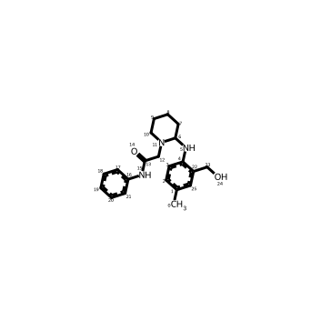 Cc1ccc(NC2CCCCN2CC(=O)Nc2ccccc2)c(CO)c1